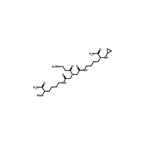 CNC(CCCCNC(=O)CN(CC(=O)NCCCCC(NC1CC1)C(N)=O)C(=O)CCNC(C)=O)C(N)=O